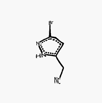 N#CCc1cc(Br)n[nH]1